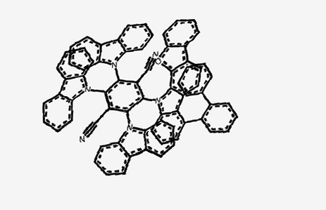 N#Cc1c(-n2c3ccccc3c3ccccc32)c(-n2c3ccccc3c3ccccc32)c(C#N)c(-n2c3cccc(-c4ccccc4-c4ccccc4)c3c3ccc4c5ccccc5oc4c32)c1-n1c2ccccc2c2ccccc21